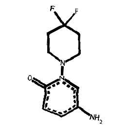 Nc1ccc(=O)n(N2CCC(F)(F)CC2)c1